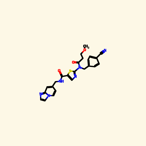 COCCC(=O)N(Cc1ccc(C#N)cc1)c1ncc(C(=O)NCc2ccn3ccnc3c2)s1